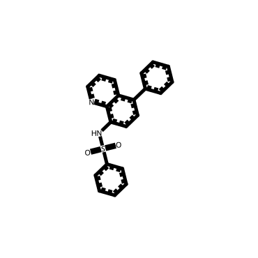 O=S(=O)(Nc1ccc(-c2ccccc2)c2cccnc12)c1ccccc1